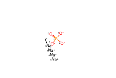 O=P([O-])([O-])[O-].[CH3][Na].[Na+].[Na+].[Na+]